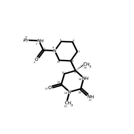 CC(C)NC(=O)N1CCCC([C@]2(C)CC(=O)N(C)C(=N)N2)C1